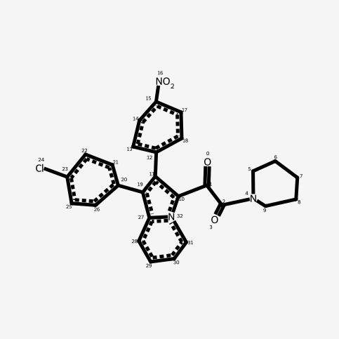 O=C(C(=O)N1CCCCC1)c1c(-c2ccc([N+](=O)[O-])cc2)c(-c2ccc(Cl)cc2)c2ccccn12